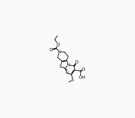 CCOC(=O)N1CCc2c(sc3nc(SC)c(C(=O)O)c(=O)n23)C1